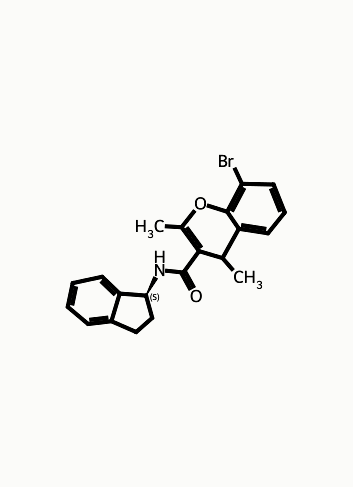 CC1=C(C(=O)N[C@H]2CCc3ccccc32)C(C)c2cccc(Br)c2O1